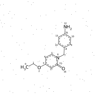 CCOc1ccn(Cc2ccc(N)cc2)c(=O)c1